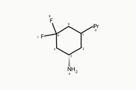 CC(C)C1C[C@H](N)CC(F)(F)C1